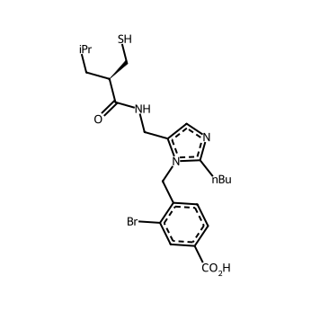 CCCCc1ncc(CNC(=O)[C@H](CS)CC(C)C)n1Cc1ccc(C(=O)O)cc1Br